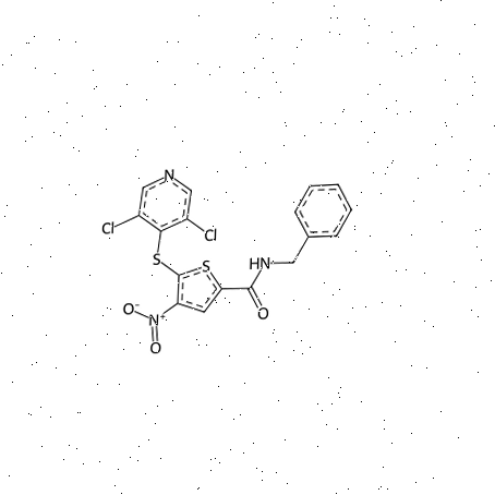 O=C(NCc1ccccc1)c1cc([N+](=O)[O-])c(Sc2c(Cl)cncc2Cl)s1